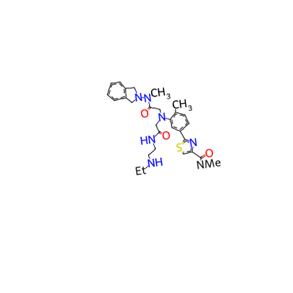 CCNCCNC(=O)CN(CC(=O)N(C)N1Cc2ccccc2C1)c1cc(-c2nc(C(=O)NC)cs2)ccc1C